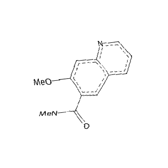 CNC(=O)c1cc2cccnc2cc1OC